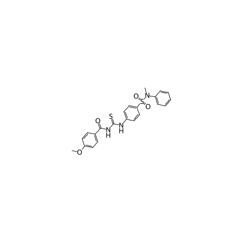 COc1ccc(C(=O)NC(=S)Nc2ccc(S(=O)(=O)N(C)c3ccccc3)cc2)cc1